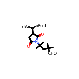 CCCCCC(CCCC)C1CC(=O)N(C(C)(C)CC(C)(C)C=O)C1=O